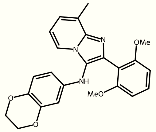 COc1cccc(OC)c1-c1nc2c(C)cccn2c1Nc1ccc2c(c1)OCCO2